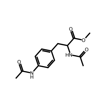 COC(=O)C(Cc1ccc(NC(C)=O)cc1)NC(C)=O